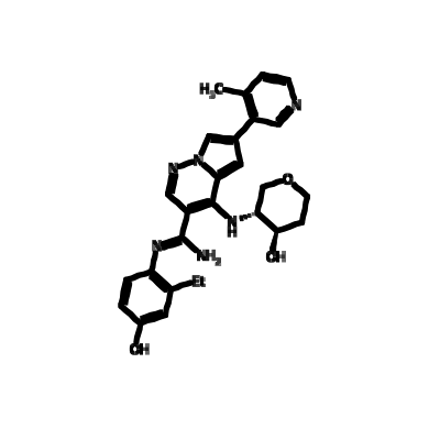 CCc1cc(O)ccc1/N=C(\N)c1cnn2cc(-c3cnccc3C)cc2c1N[C@@H]1COCC[C@H]1O